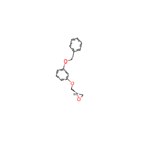 c1ccc(COc2cccc(OC[C@H]3CO3)c2)cc1